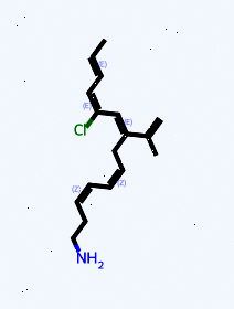 C=C(C)/C(=C/C(Cl)=C\C=C\C)C/C=C\C=C/CCN